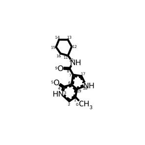 Cc1c[nH]c(=O)c2c(C(=O)NC3CCCCC3)c[nH]c12